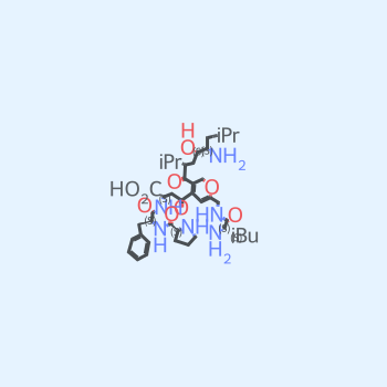 CC[C@H](C)[C@H](N)C(=O)NCC1=CC(C(=O)C[C@H](NC(=O)[C@H](Cc2ccccc2)NC(=O)[C@@H]2CCCN2)C(=O)O)=C(C(=O)C(C[C@H](O)[C@@H](N)CC(C)C)C(C)C)CO1